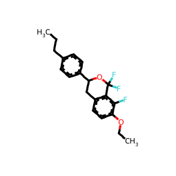 CCCc1ccc(C2Cc3ccc(OCC)c(F)c3C(F)(F)O2)cc1